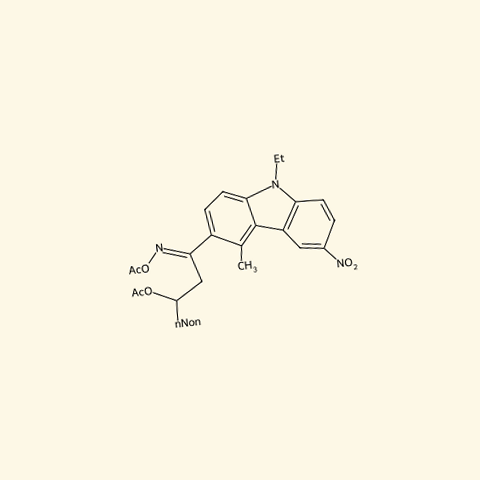 CCCCCCCCCC(C/C(=N\OC(C)=O)c1ccc2c(c1C)c1cc([N+](=O)[O-])ccc1n2CC)OC(C)=O